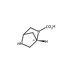 O=C(O)N1CC2C[C@H]1CN2